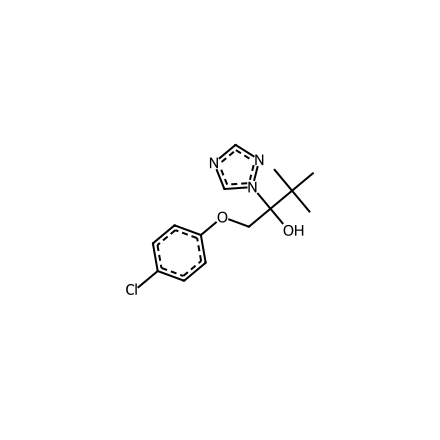 CC(C)(C)C(O)(COc1ccc(Cl)cc1)n1cncn1